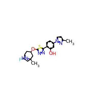 Cc1ccn(-c2ccc(-c3nnc(OC4CC5NC(C)(C4)CC5F)s3)c(O)c2)n1